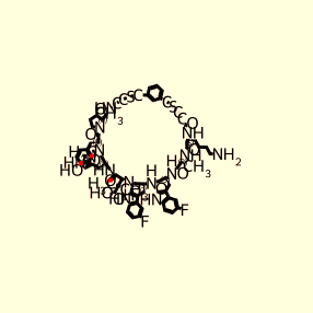 C[C@H]1NC(=O)[C@H](CCCCN)NC(=O)CCSCc2cccc(c2)CSCCNC(=O)[C@]2(C)CCCN2C(=O)[C@H](Cc2ccc(O)cc2)N(C)C(=O)[C@H](Cc2c[nH]cn2)NC(=O)C(C(C)(C)C(=O)O)NC(=O)[C@H](Cc2c[nH]c3ccc(F)cc23)NC(=O)[C@H](Cc2c[nH]c3ccc(F)cc23)NC1=O